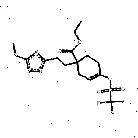 CCOC(=O)C1(CCc2nsc(SC)n2)CC=C(OS(=O)(=O)C(F)(F)F)CC1